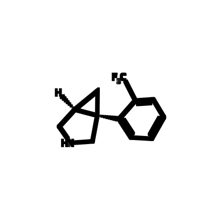 FC(F)(F)c1ccccc1[C@]12CNC[C@H]1C2